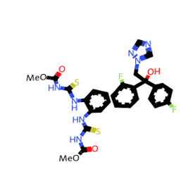 COC(=O)NC(=S)Nc1ccccc1NC(=S)NC(=O)OC.OC(Cn1cncn1)(c1ccc(F)cc1)c1ccccc1F